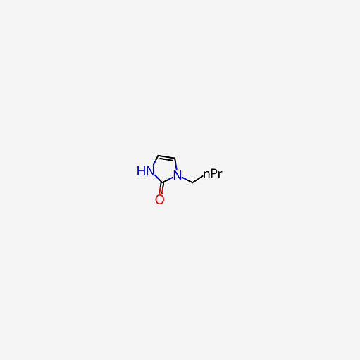 CCCCn1cc[nH]c1=O